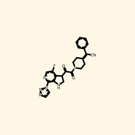 N#CC(=C1CCN(C(=O)C(=O)C2CNc3c(-n4ccnn4)ncc(F)c32)CC1)c1ccccc1